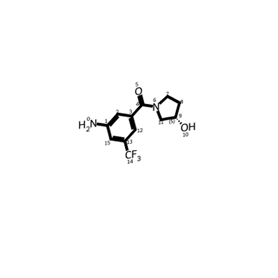 Nc1cc(C(=O)N2CC[C@H](O)C2)cc(C(F)(F)F)c1